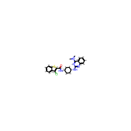 CN(C)c1nc(N[C@H]2CC[C@@H](NC(=O)c3sc4ccccc4c3Cl)CC2)nc2ccccc12